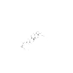 CC(CCC(=O)O)C1CCC2C3CCC4CC(OC(=O)CCC(=O)OCC(=O)OC(C)(C)C)CCC4(C)C3CCC12C